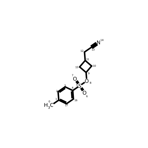 Cc1ccc(S(=O)(=O)OC2CC(CC#N)C2)cc1